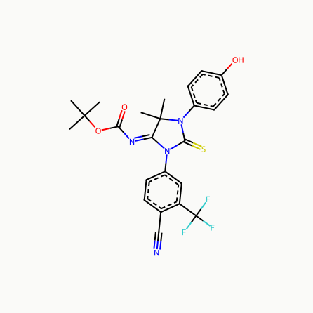 CC(C)(C)OC(=O)/N=C1/N(c2ccc(C#N)c(C(F)(F)F)c2)C(=S)N(c2ccc(O)cc2)C1(C)C